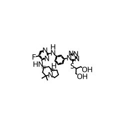 CC1(C)C[C@H](Nc2nc(Nc3cccc(-n4nnnc4SC(CO)CO)c3)ncc2F)C[C@H]2CCCN21